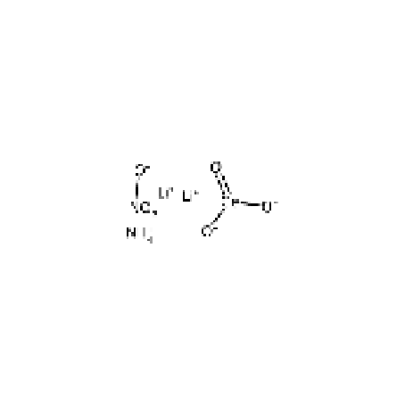 O=[N+]([O-])[O-].[Li+].[Li+].[NH4+].[O]=[Ge]([O-])[O-]